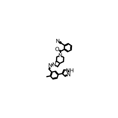 Cc1ccc(-c2cn[nH]c2)cc1/C=N\N1CC2CCN(C(=O)c3ccccc3C#N)CC21